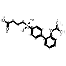 CC(C)Oc1ccccc1-c1ccc(S(F)(F)CCCC(=O)O)cc1